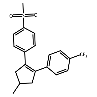 CC1CC(c2ccc(C(F)(F)F)cc2)=C(c2ccc(S(C)(=O)=O)cc2)C1